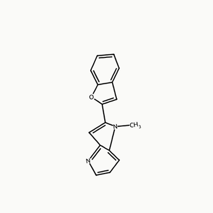 Cn1c(-c2cc3ccccc3o2)cc2ncccc21